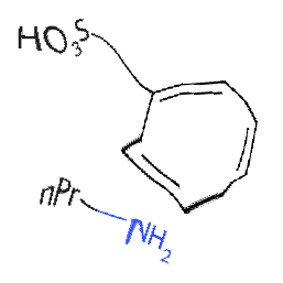 CCCN.O=S(=O)(O)c1ccccc1